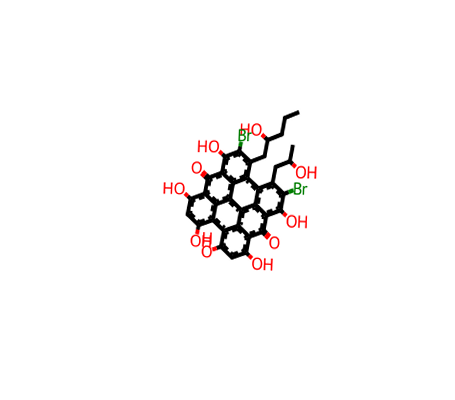 CCCC(O)Cc1c(Br)c(O)c2c(=O)c3c(O)cc(O)c4c5c(O)cc(O)c6c(=O)c7c(O)c(Br)c(CC(C)O)c8c1c2c(c34)c(c65)c78